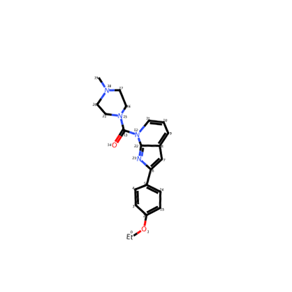 CCOc1ccc(-c2cc3cccn(C(=O)N4CCN(C)CC4)c-3n2)cc1